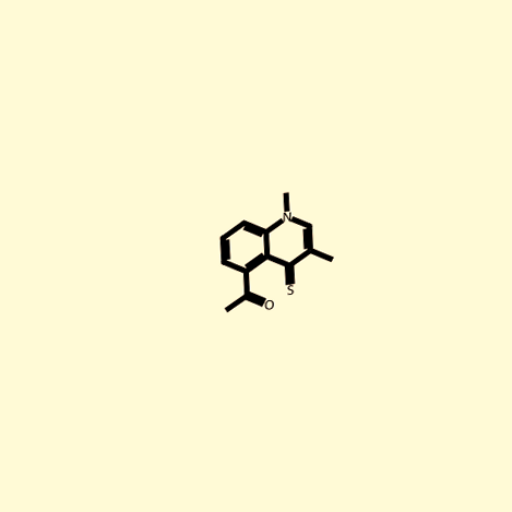 CC(=O)c1cccc2c1c(=S)c(C)cn2C